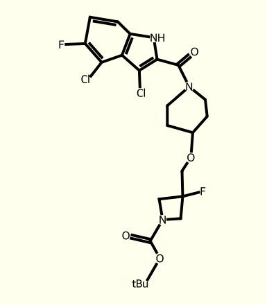 CC(C)(C)OC(=O)N1CC(F)(COC2CCN(C(=O)c3[nH]c4ccc(F)c(Cl)c4c3Cl)CC2)C1